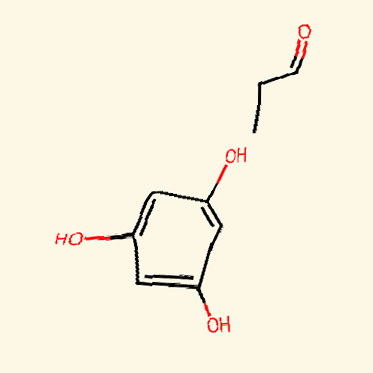 CCC=O.Oc1cc(O)cc(O)c1